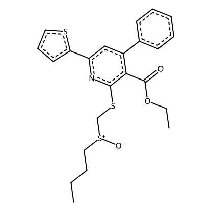 CCCC[S+]([O-])CSc1nc(-c2cccs2)cc(-c2ccccc2)c1C(=O)OCC